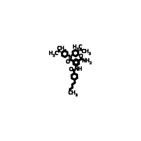 CCCCCC1CCC(C(=O)Nc2cc(C(N)=O)cc(C(=O)N([C@H]3CC[C@@H](C(C)C)CC3)[C@H]3CC[C@@H](C(C)C)CC3)c2)CC1